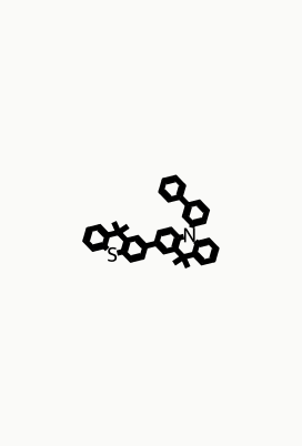 CC1(C)c2ccccc2Sc2ccc(-c3ccc4c(c3)C(C)(C)c3ccccc3N4c3cccc(-c4ccccc4)c3)cc21